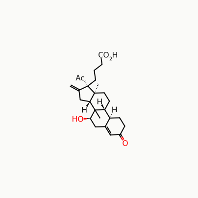 C=C1C[C@H]2C3(C)[C@H](O)CC4=CC(=O)CC[C@@H]4[C@H]3CC[C@]2(C)[C@@]1(CCCC(=O)O)C(C)=O